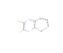 Oc1nc2ccccc2nc1Br